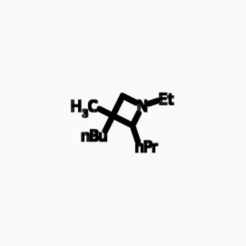 CCCCC1(C)CN(CC)C1CCC